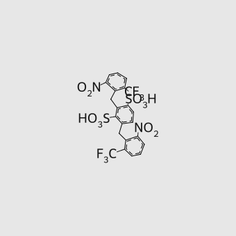 O=[N+]([O-])c1cccc(C(F)(F)F)c1Cc1ccc(S(=O)(=O)O)c(Cc2c([N+](=O)[O-])cccc2C(F)(F)F)c1S(=O)(=O)O